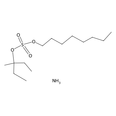 CCCCCCCCOS(=O)(=O)OC(C)(CC)CC.N